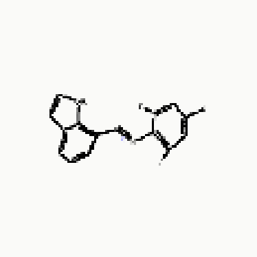 Fc1cc(F)c(/N=C/c2cccc3cc[nH]c23)c(F)c1